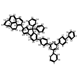 C1=CCC(c2nc(-c3ccc(-c4ccccc4)cc3)nc(-c3ccc(-c4ccc5c(c4)C(c4ccccc4)(c4ccccc4)c4cc(-c6ccc7ccc8cccc9ccc6c7c89)ccc4-5)cc3)n2)C=C1